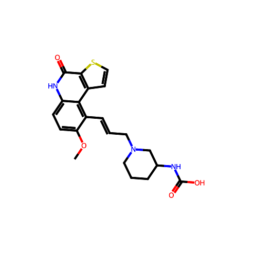 COc1ccc2[nH]c(=O)c3sccc3c2c1/C=C/CN1CCCC(NC(=O)O)C1